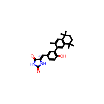 Cc1cc2c(cc1-c1cc(/C=C3\NC(=O)NC3=O)ccc1O)C(C)(C)CCC2(C)C